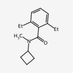 CCc1cccc(CC)c1C(=O)N(C)C1CCC1